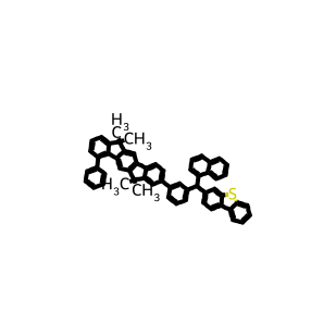 CC1(C)c2cc(-c3cccc(C(c4ccc5c(c4)sc4ccccc45)c4cccc5ccccc45)c3)ccc2-c2cc3c(cc21)-c1c(-c2ccccc2)cccc1C3(C)C